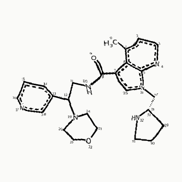 Cc1ccnc2c1c(C(=O)NCC(c1cccnc1)N1CCOCC1)cn2C[C@@H]1CCCN1